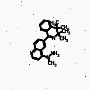 CN(N)c1ccnc2ccc(C3=NC(C)(C)C(C)(C)c4ccccc43)cc12